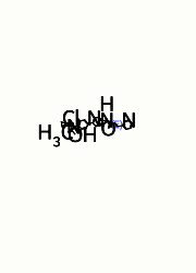 CC(O)N(CC1CC1)c1ccc(-c2ccc(NC(=O)/C=C/c3cccnc3)cn2)cc1Cl